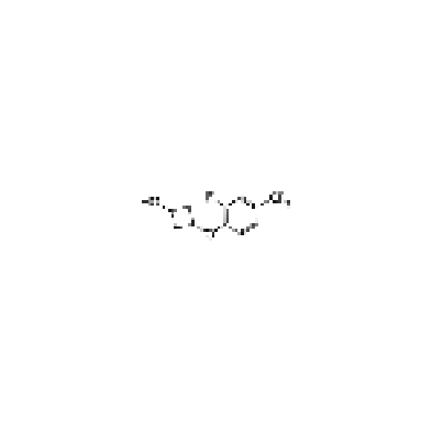 OC1CC(Oc2ccc(C(F)(F)F)cc2F)C1